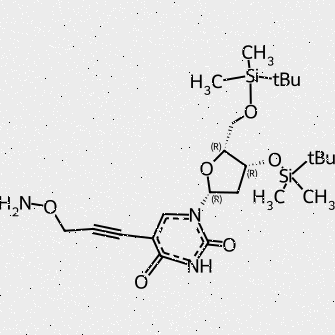 CC(C)(C)[Si](C)(C)OC[C@H]1O[C@@H](n2cc(C#CCON)c(=O)[nH]c2=O)C[C@H]1O[Si](C)(C)C(C)(C)C